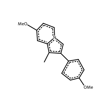 COc1ccc(-c2cn3ccc(OC)cc3c2C)cc1